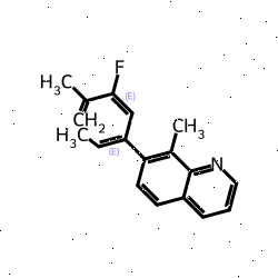 C=C(C)/C(F)=C\C(=C/C)c1ccc2cccnc2c1C